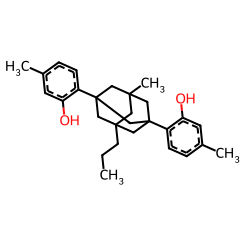 CCCC12CC3(C)CC(c4ccc(C)cc4O)(C1)CC(c1ccc(C)cc1O)(C3)C2